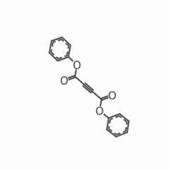 O=C(C#CC(=O)Oc1ccccc1)Oc1ccccc1